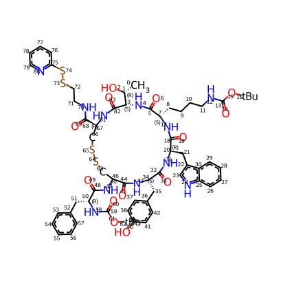 C[C@@H](O)[C@@H]1NC(=O)[C@H](CCCCNC(=O)OC(C)(C)C)NC(=O)[C@@H](Cc2c[nH]c3ccccc23)NC(=O)[C@H](Cc2ccc(O)cc2)NC(=O)[C@@H](NC(=O)[C@@H](Cc2ccccc2)NC(=O)OC(C)(C)C)CSSC[C@@H](C(=O)NCCSSc2ccccn2)NC1=O